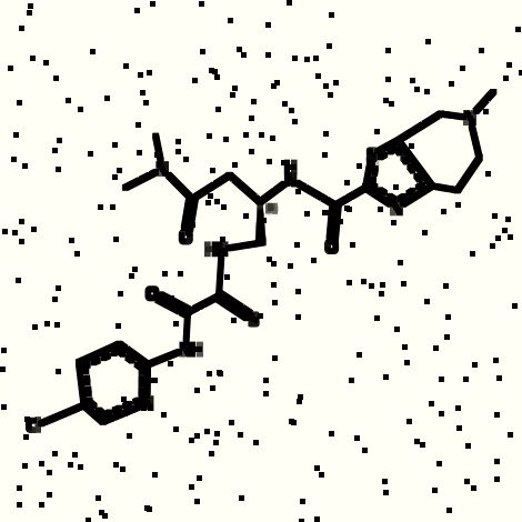 CN1CCc2nc(C(=O)N[C@@H](CNC(=S)C(=O)Nc3ccc(Cl)cn3)CC(=O)N(C)C)sc2C1